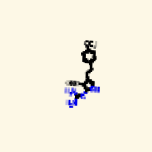 NC(N)=Nc1[nH]cc(CCc2ccc(C(=O)O)cc2)c1C=O